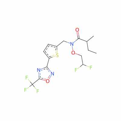 CCC(C)C(=O)N(Cc1ccc(-c2noc(C(F)(F)F)n2)s1)OCC(F)F